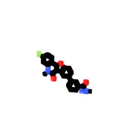 CNC(=O)c1cccc(-c2ccc3oc(-c4ccc(F)cc4)c(C(=O)NC)c3c2)c1